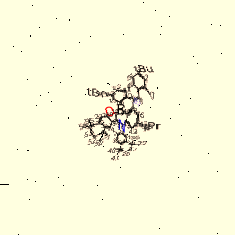 Cc1cc(C(C)(C)C)ccc1/C=C1\c2ccc(C(C)(C)C)cc2B2c3oc4cc5c(cc4c3N(c3ccc4c(c3)C(C)(C)CCC4(C)C)c3cc(C(C)C)cc1c32)C(C)(C)CCC5(C)C